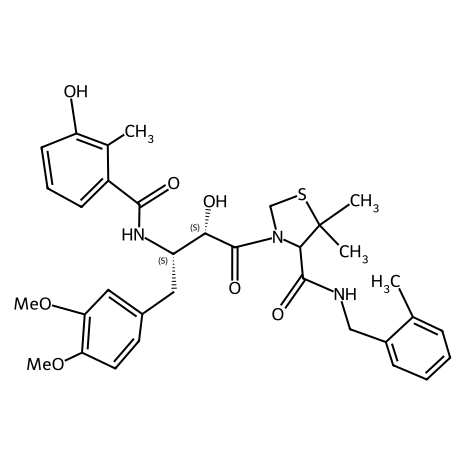 COc1ccc(C[C@H](NC(=O)c2cccc(O)c2C)[C@H](O)C(=O)N2CSC(C)(C)C2C(=O)NCc2ccccc2C)cc1OC